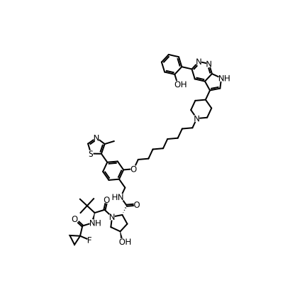 Cc1ncsc1-c1ccc(CNC(=O)[C@@H]2C[C@@H](O)CN2C(=O)[C@@H](NC(=O)C2(F)CC2)C(C)(C)C)c(OCCCCCCCCN2CCC(c3c[nH]c4nnc(-c5ccccc5O)cc34)CC2)c1